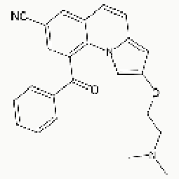 CN(C)CCOc1cc2ccc3cc(C#N)cc(C(=O)c4ccccc4)c3n2c1